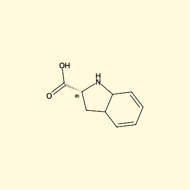 O=C(O)[C@H]1CC2C=CC=CC2N1